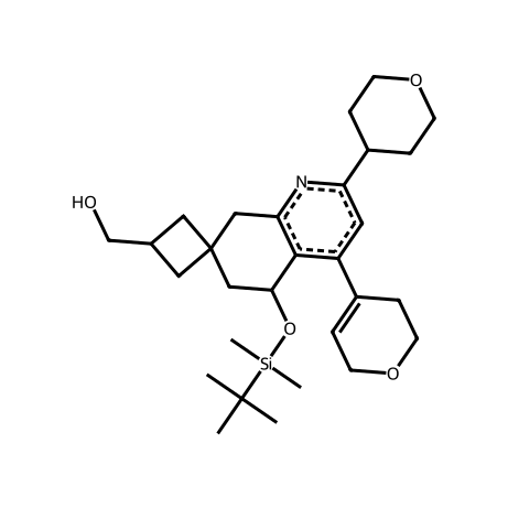 CC(C)(C)[Si](C)(C)OC1CC2(Cc3nc(C4CCOCC4)cc(C4=CCOCC4)c31)CC(CO)C2